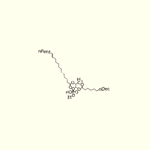 CCCCCC=CCCCCCCCCCCC(=O)OC(C)C(OC(=O)CCCCCCCCCCCCCCC)OP(=O)(O)OCC